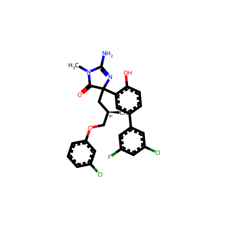 C[C@@H](COc1cccc(Cl)c1)CC1(c2cc(-c3cc(F)cc(Cl)c3)ccc2O)N=C(N)N(C)C1=O